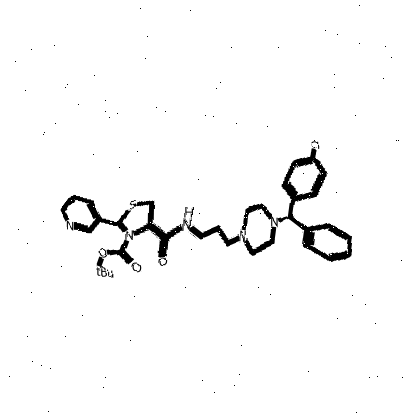 CC(C)(C)OC(=O)N1C(C(=O)NCCCN2CCN([C@H](c3ccccc3)c3ccc(Cl)cc3)CC2)CSC1c1cccnc1